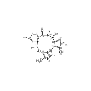 Cc1ccc2c(c1)[C@@H](C)Oc1nc(cnc1N)-c1c(nn(C)c1C#N)C(=O)N(C)C2=O